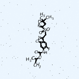 CC(C)OC(=O)Nc1cc2onc(CS(=O)(=O)C3=NOC(C)(C)C3)c2cc1F